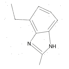 CCc1cccc2[nH]c(C)nc12